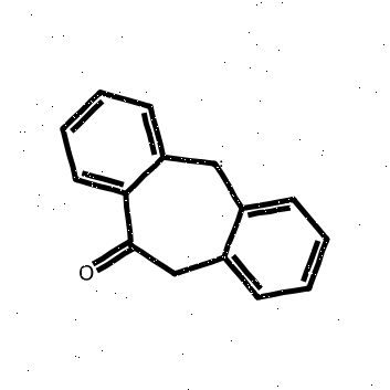 O=C1Cc2ccccc2[C]c2ccccc21